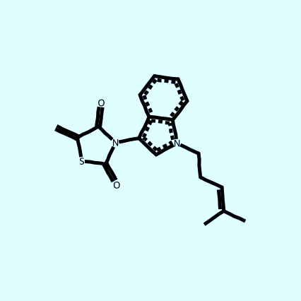 C=C1SC(=O)N(c2cn(CCC=C(C)C)c3ccccc23)C1=O